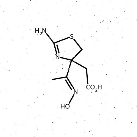 CC(=NO)C1(CC(=O)O)CSC(N)=N1